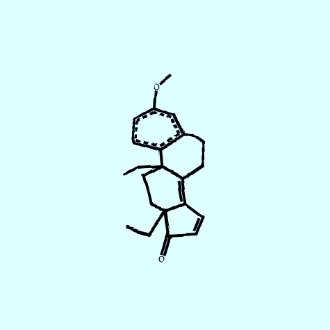 CCC12CCC3(CC)C(=C1C=CC2=O)CCc1cc(OC)ccc13